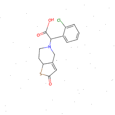 O=C1C=C2CN(C(C(=O)O)c3ccccc3Cl)CCC2S1